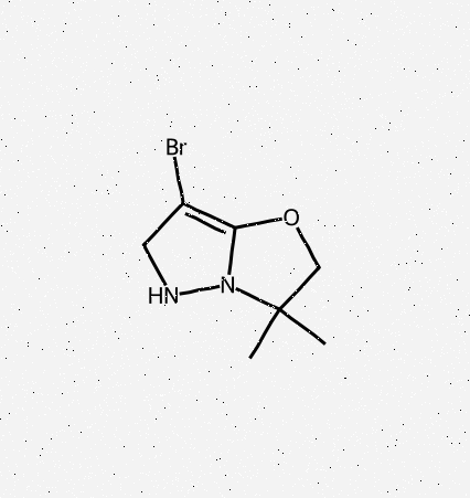 CC1(C)COC2=C(Br)CNN21